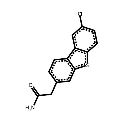 NC(=O)Cc1ccc2c(c1)sc1ccc(Cl)cc12